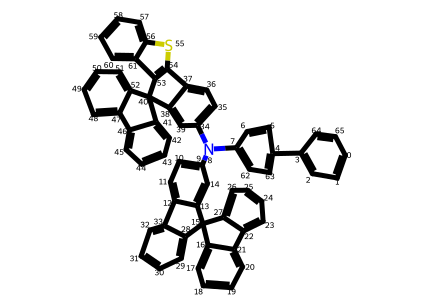 c1ccc(-c2ccc(N(c3ccc4c(c3)C3(c5ccccc5-c5ccccc53)c3ccccc3-4)c3ccc4c(c3)C3(c5ccccc5-c5ccccc53)c3c-4sc4ccccc34)cc2)cc1